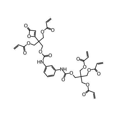 C=CC(=O)OCC(COC(=O)C=C)(COC(=O)C=C)COC(=O)Nc1cccc(NC(=O)OCC(COC(=O)C=C)(COC(=O)C=C)C2=CC(=O)O2)c1